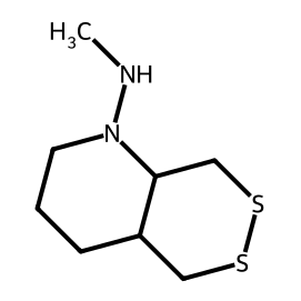 CNN1CCCC2CSSCC21